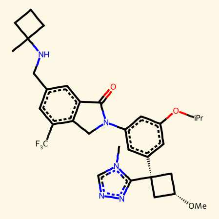 CO[C@H]1C[C@](c2cc(OC(C)C)cc(N3Cc4c(cc(CNC5(C)CCC5)cc4C(F)(F)F)C3=O)c2)(c2nncn2C)C1